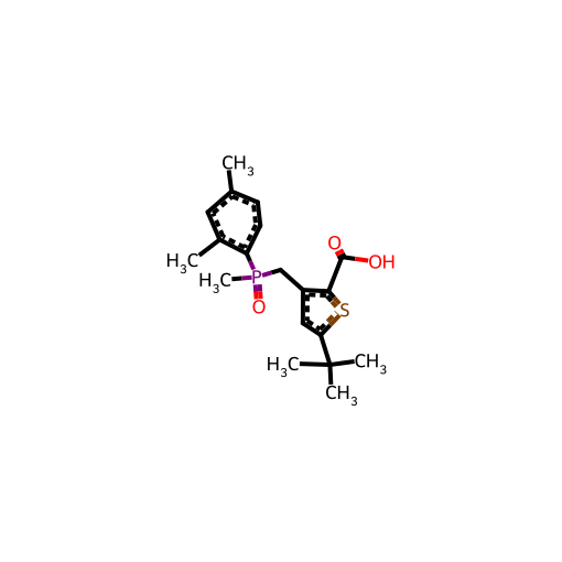 Cc1ccc(P(C)(=O)Cc2cc(C(C)(C)C)sc2C(=O)O)c(C)c1